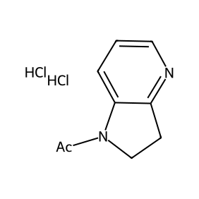 CC(=O)N1CCc2ncccc21.Cl.Cl